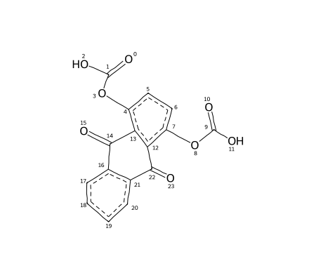 O=C(O)Oc1ccc(OC(=O)O)c2c1C(=O)c1ccccc1C2=O